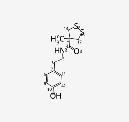 CC1(C(=O)NCCc2ccc(O)cc2)CSSC1